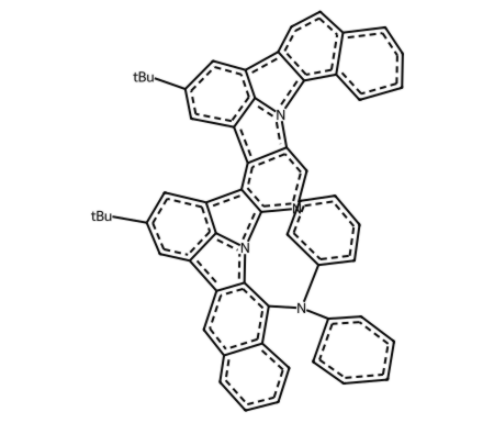 CC(C)(C)c1cc2c3cc4ccccc4c(N(c4ccccc4)c4ccccc4)c3n3c4ncc5c(c6cc(C(C)(C)C)cc7c8ccc9ccccc9c8n5c76)c4c(c1)c23